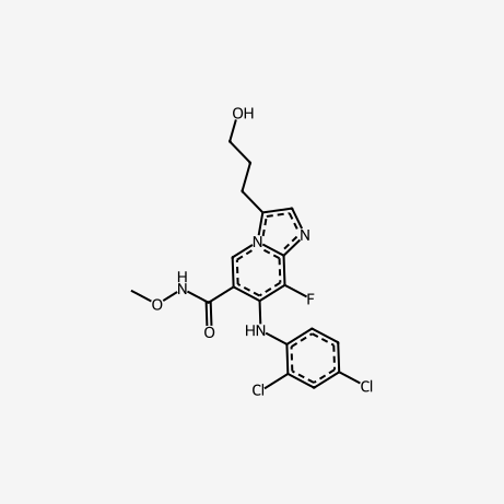 CONC(=O)c1cn2c(CCCO)cnc2c(F)c1Nc1ccc(Cl)cc1Cl